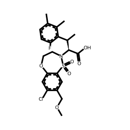 COCc1cc2c(cc1Cl)OCCN([C@H](C(=O)O)C(C)c1c(F)ccc(C)c1C)S2(=O)=O